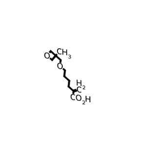 C=C(CCCCOCC1(C)COC1)C(=O)O